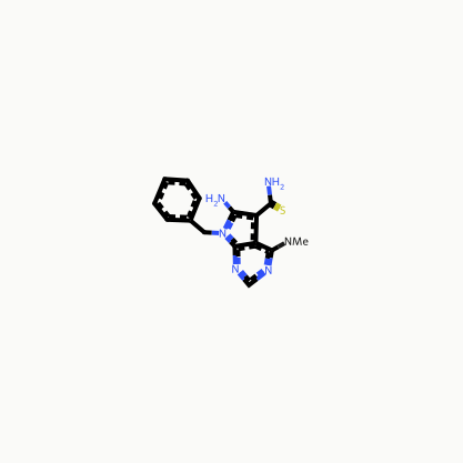 CNc1ncnc2c1c(C(N)=S)c(N)n2Cc1ccccc1